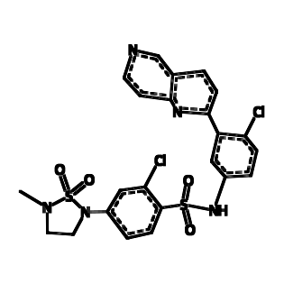 CN1CCN(c2ccc(S(=O)(=O)Nc3ccc(Cl)c(-c4ccc5cnccc5n4)c3)c(Cl)c2)S1(=O)=O